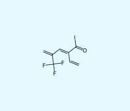 C=C/C(=C\C(=C)C(F)(F)F)C(=O)I